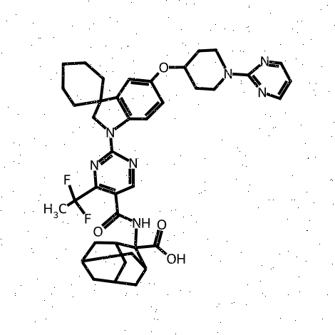 CC(F)(F)c1nc(N2CC3(CCCCC3)c3cc(OC4CCN(c5ncccn5)CC4)ccc32)ncc1C(=O)NC1(C(=O)O)C2CC3CC(C2)CC1C3